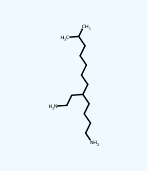 CC(C)CCCCCC(CCN)CCCCN